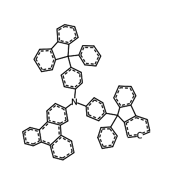 c1ccc(C2(c3ccc(N(c4ccc(C5(c6ccccc6)c6ccccc6-c6ccccc65)cc4)c4ccc5c6ccccc6c6ccccc6c5c4)cc3)c3ccccc3-c3ccccc32)cc1